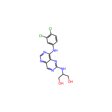 OCC(CO)Nc1ncc2ncnc(Nc3ccc(Cl)c(Cl)c3)c2n1